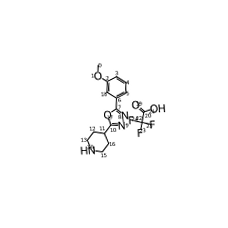 COc1cccc(-c2nnc(C3CCNCC3)o2)c1.O=C(O)C(F)(F)F